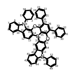 C1=CCC(n2c3ccccc3c3ccc4c(c32)Oc2c(-c3ccccc3)cc(-c3ccccc3)c3c2B4c2cc4c5ccccc5n(-c5ccccc5)c4cc2O3)C=C1